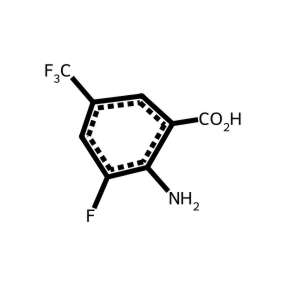 Nc1c(F)cc(C(F)(F)F)cc1C(=O)O